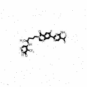 CC(CCCn1cnc2cc(-c3ncc(C(F)F)c(N)n3)c(F)cc2c1=O)Nc1cn[nH]c(=O)c1C(F)(F)F